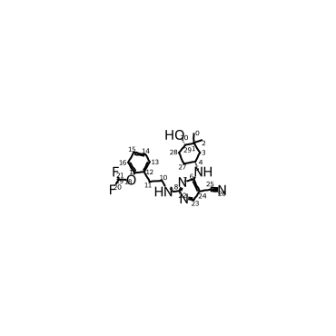 CC1(C)C[C@H](Nc2nc(NCCc3ccccc3OC(F)F)ncc2C#N)CC[C@@H]1O